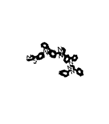 c1ccc(-c2cc(-n3c4ccccc4c4cc(-c5ccnc(-c6ccc7c(c6)c6ccccc6n7-c6ccc7sc8ccncc8c7c6)n5)ccc43)nc(-c3ccccc3)n2)cc1